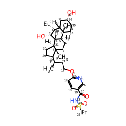 CC[C@H]1[C@@H](O)[C@@H]2[C@H](CC[C@]3(C)[C@@H]([C@H](C)CCOc4ccc(C(=O)NS(=O)(=O)C(C)C)cn4)CC[C@@H]23)[C@@]2(C)CC[C@@H](O)C[C@@H]12